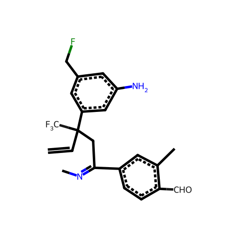 C=CC(C/C(=N\C)c1ccc(C=O)c(C)c1)(c1cc(N)cc(CF)c1)C(F)(F)F